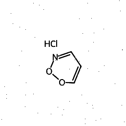 C1=COON=C1.Cl